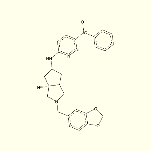 [O-][S+](c1ccccc1)c1ccc(N[C@@H]2CC3CN(Cc4ccc5c(c4)OCO5)C[C@H]3C2)nn1